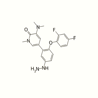 CN(C)c1cc(-c2cc(NN)ccc2Oc2ccc(F)cc2F)cn(C)c1=O